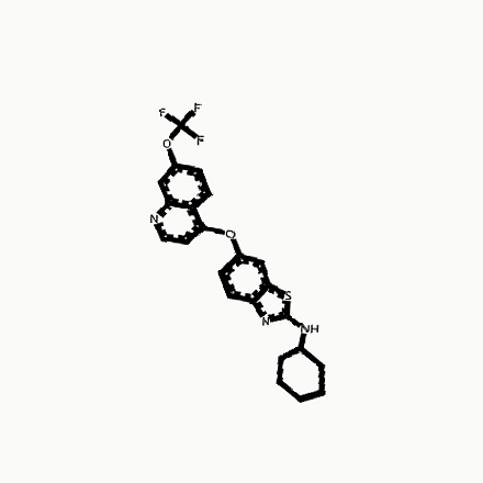 FC(F)(F)Oc1ccc2c(Oc3ccc4nc(NC5CCCCC5)sc4c3)ccnc2c1